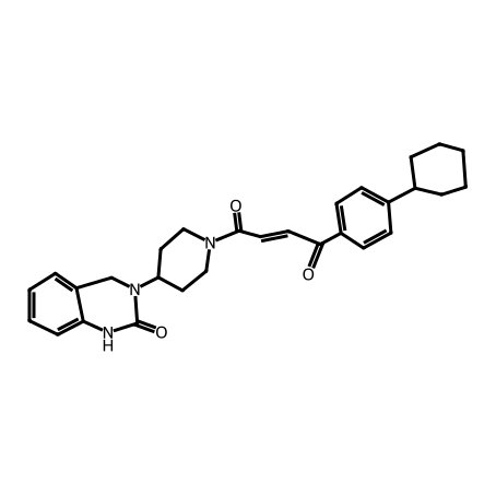 O=C(/C=C/C(=O)N1CCC(N2Cc3ccccc3NC2=O)CC1)c1ccc(C2CCCCC2)cc1